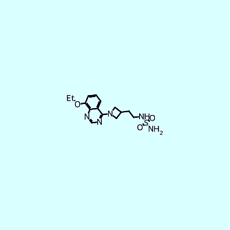 CCOc1cccc2c(N3CC(CCNS(N)(=O)=O)C3)ncnc12